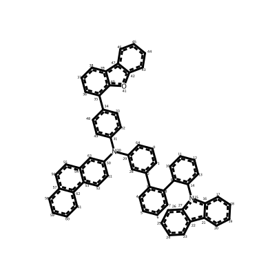 c1cc(-c2ccccc2-c2ccccc2-n2c3ccccc3c3ccccc32)cc(N(c2ccc(-c3cccc4c3oc3ccccc34)cc2)c2ccc3c(ccc4ccccc43)c2)c1